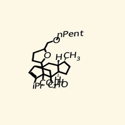 CCCCCOCC1CCC(C23C[C@@H]4[C@H](C)CC[C@H]4C4(C=O)CC2C=C(C(C)C)C34C(=O)O)O1